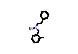 CCN(CCc1ccccc1)Cc1ccccc1C